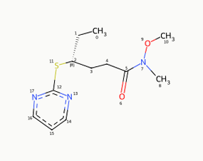 CC[C@H](CCC(=O)N(C)OC)Sc1ncccn1